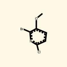 COc1ccc(Cl)nc1Br